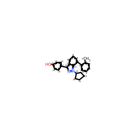 Cc1ccccc1-c1cccc2c(-c3ccc(O)cc3)nn(C3CCCC3)c12